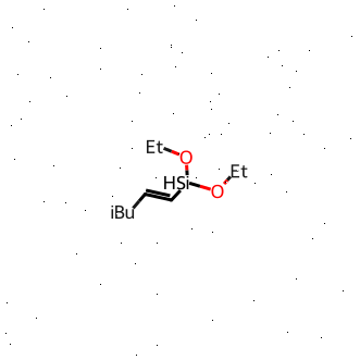 CCO[SiH](C=CC(C)CC)OCC